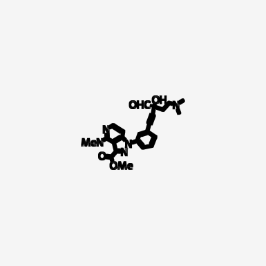 CNc1nccc2c1c(C(=O)OC)nn2-c1cccc(C#C[C@@](O)(C=O)CCN(C)C)c1